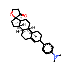 CN(C)c1ccc(C2C=C3CC[C@@H]4[C@H](CC[C@@]5(C)[C@H]4CCC54OCCC4=O)[C@H]3CC2)cc1